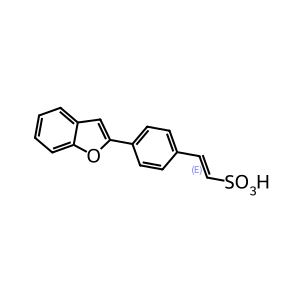 O=S(=O)(O)/C=C/c1ccc(-c2cc3ccccc3o2)cc1